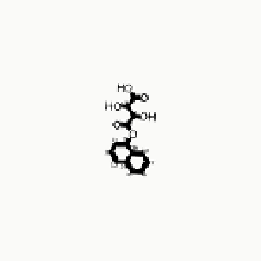 O=C(O)C(O)C(O)C(=O)Oc1cccc2ccccc12